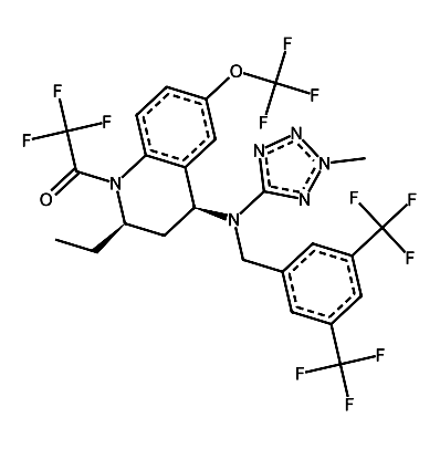 CC[C@@H]1C[C@H](N(Cc2cc(C(F)(F)F)cc(C(F)(F)F)c2)c2nnn(C)n2)c2cc(OC(F)(F)F)ccc2N1C(=O)C(F)(F)F